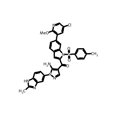 COc1ncc(Cl)cc1-c1ccc2cc(C(=O)c3cnn(-c4ccc5[nH]c(C)nc5c4)c3N)n(S(=O)(=O)c3ccc(C)cc3)c2c1